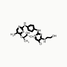 Bc1cnc(Nc2ccc(Nc3ncc(Cl)c(NCCO)n3)cc2)nc1O[C@H](C)[C@@H](C)O